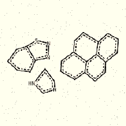 c1c[nH]cn1.c1cc2ccc3cccc4ccc(c1)c2c34.c1ccc2snnc2c1